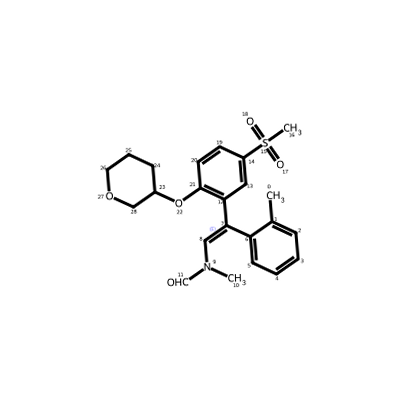 Cc1ccccc1/C(=C\N(C)C=O)c1cc(S(C)(=O)=O)ccc1OC1CCCOC1